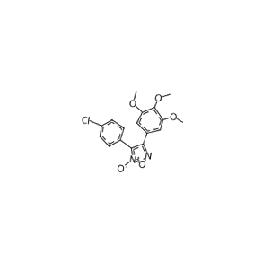 COc1cc(-c2no[n+]([O-])c2-c2ccc(Cl)cc2)cc(OC)c1OC